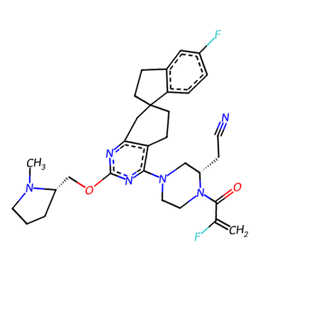 C=C(F)C(=O)N1CCN(c2nc(OC[C@@H]3CCCN3C)nc3c2CCC2(CCc4cc(F)ccc42)C3)C[C@@H]1CC#N